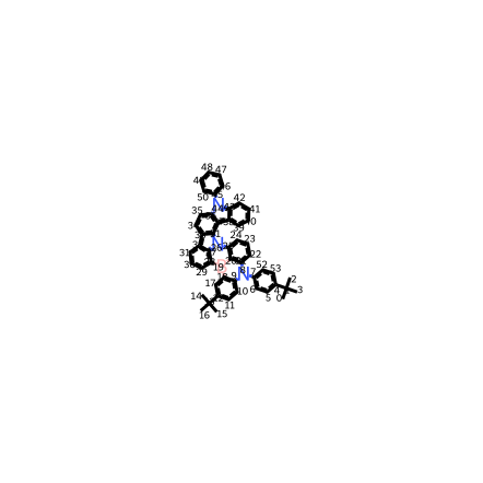 CC(C)(C)c1ccc(N2c3ccc(C(C)(C)C)cc3B3c4c2cccc4-n2c4c3cccc4c3ccc4c(c5ccccc5n4-c4ccccc4)c32)cc1